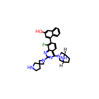 Oc1cc(-c2ccc3c(N4C[C@H]5CC[C@@H](C4)N5)nc(N4CC5(CCNC5)C4)nc3c2F)c2ccccc2c1